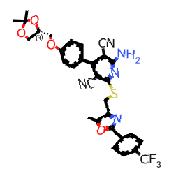 Cc1oc(-c2ccc(C(F)(F)F)cc2)nc1CSc1nc(N)c(C#N)c(-c2ccc(OC[C@@H]3COC(C)(C)O3)cc2)c1C#N